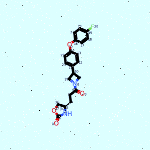 O=C1N[C@H](CCC(=O)N2CC(c3ccc(Oc4ccc(F)cc4)cc3)C2)CO1